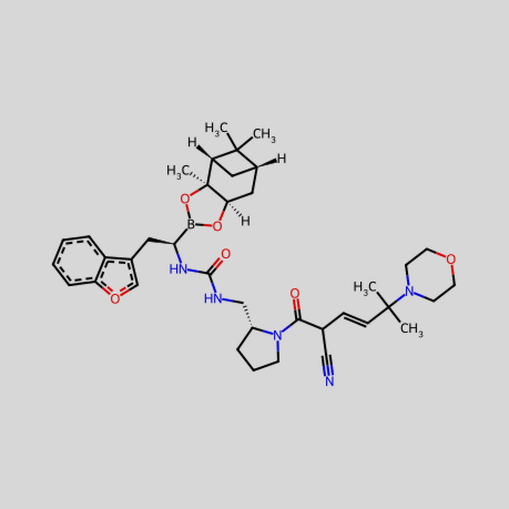 CC1(C)[C@@H]2C[C@H]3OB([C@H](Cc4coc5ccccc45)NC(=O)NC[C@H]4CCCN4C(=O)C(C#N)/C=C/C(C)(C)N4CCOCC4)O[C@@]3(C)[C@H]1C2